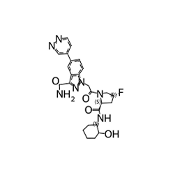 NC(=O)c1nn(CC(=O)N2C[C@H](F)C[C@H]2C(=O)N[C@H]2CCCCC2O)c2ccc(-c3ccnnc3)cc12